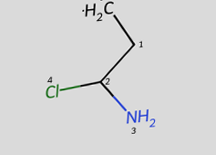 [CH2]CC(N)Cl